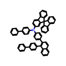 c1ccc(-c2ccc(-c3c(-c4ccc(N(c5ccc(-c6ccccc6)cc5)c5ccc6c(c5)C5(c7ccccc7-c7ccccc75)c5ccccc5-6)cc4)ccc4ccccc34)cc2)cc1